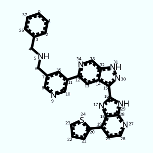 c1ccc(CNCc2cncc(-c3cc4c(-c5nc6c(-c7cccs7)ccnc6[nH]5)n[nH]c4cn3)c2)cc1